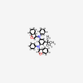 CC(C)(C)c1cc(N(c2ccccc2)c2coc3ccccc23)cc(N(c2ccccc2)c2coc3ccccc23)c1